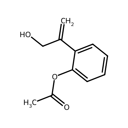 C=C(CO)c1ccccc1OC(C)=O